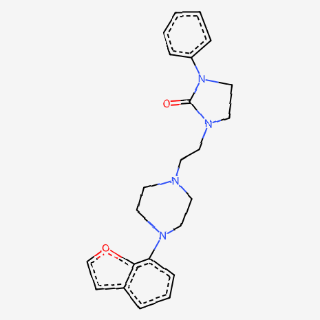 O=C1N(CCN2CCN(c3cccc4ccoc34)CC2)CCN1c1ccccc1